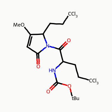 COC1=CC(=O)N(C(=O)C(CCC(Cl)(Cl)Cl)NC(=O)OC(C)(C)C)C1CCC(Cl)(Cl)Cl